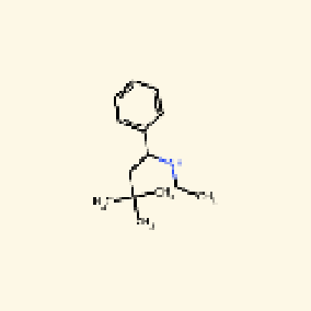 CCNC(CC(C)(C)C)c1ccccc1